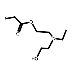 CCN(CCO)CCOC(=O)CI